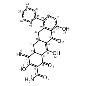 N=C1C(O)=C(C(N)=O)C(=O)C2C(O)=C3C(=O)c4c(O)ccc(-c5cnccn5)c4CC3CC12